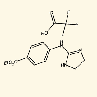 CCOC(=O)c1ccc(NC2=NCCN2)cc1.O=C(O)C(F)(F)F